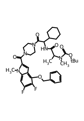 CC(C(=O)NC(C(=O)N1CCN(C(=O)c2cc3c(OCc4ccccc4)c(F)c(F)cc3n2C)CC1)C1CCCCC1)N(C)C(=O)OC(C)(C)C